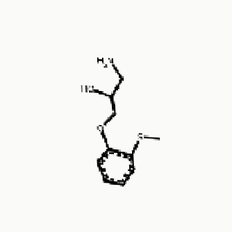 CSc1ccccc1OCC(O)CN